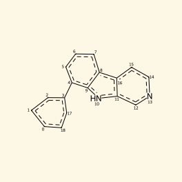 c1ccc(-c2cccc3c2[nH]c2cnccc23)cc1